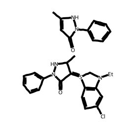 CCN1CS(=C2C(=O)N(c3ccccc3)NC2C)c2ccc(Cl)cc21.Cc1cc(=O)n(-c2ccccc2)[nH]1